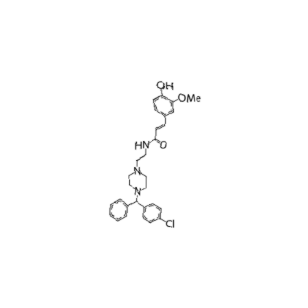 COc1cc(C=CC(=O)NCCN2CCN(C(c3ccccc3)c3ccc(Cl)cc3)CC2)ccc1O